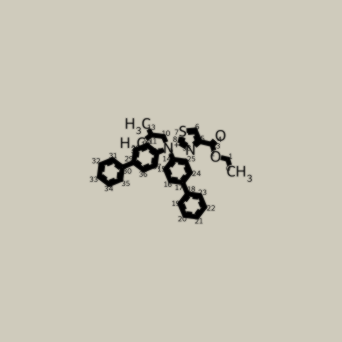 CCOC(=O)c1csc([N+](CC(C)C)(c2ccc(-c3ccccc3)cc2)c2ccc(-c3ccccc3)cc2)n1